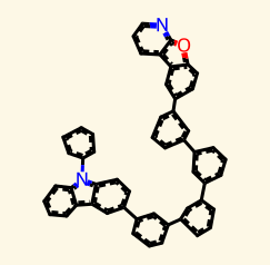 c1ccc(-n2c3ccccc3c3cc(-c4cccc(-c5cccc(-c6cccc(-c7cccc(-c8ccc9oc%10ncccc%10c9c8)c7)c6)c5)c4)ccc32)cc1